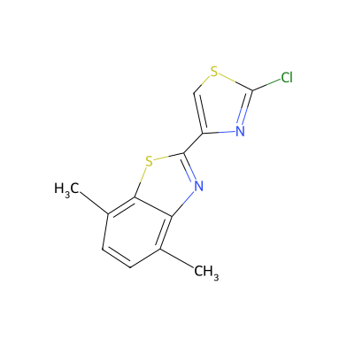 Cc1ccc(C)c2sc(-c3csc(Cl)n3)nc12